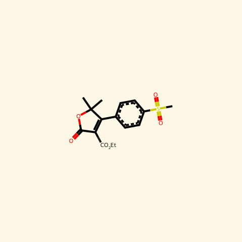 CCOC(=O)C1=C(c2ccc(S(C)(=O)=O)cc2)C(C)(C)OC1=O